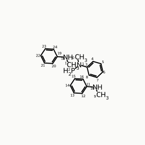 CN(P)c1ccccc1.CNc1ccccc1.CNc1ccccc1